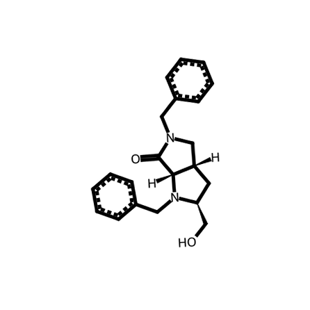 O=C1[C@@H]2[C@@H](C[C@@H](CO)N2Cc2ccccc2)CN1Cc1ccccc1